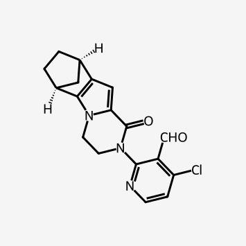 O=Cc1c(Cl)ccnc1N1CCn2c(cc3c2[C@H]2CC[C@@H]3C2)C1=O